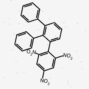 O=[N+]([O-])c1cc([N+](=O)[O-])c(-c2cccc(-c3ccccc3)c2-c2ccccc2)c([N+](=O)[O-])c1